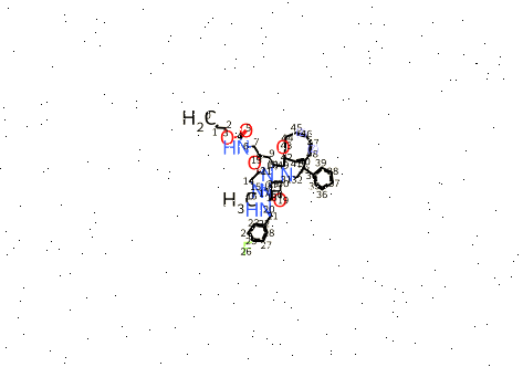 C=CCOC(=O)NCCC[C@@H]1N2C(=O)CN(C)N(C(=O)NCc3ccc(F)cc3)[C@H]2CN2CC(c3ccccc3)C3=CC4OC(/C=C\C=C/3)C412